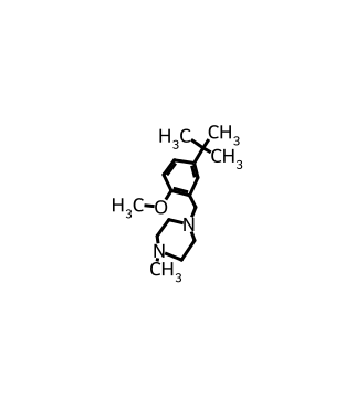 COc1ccc(C(C)(C)C)cc1CN1CCN(C)CC1